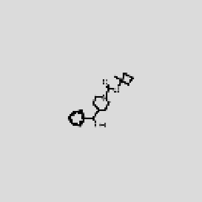 CC1(OC(=O)N2CCC(C(O)c3ccccc3)CC2)CCC1